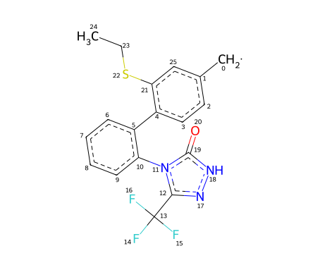 [CH2]c1ccc(-c2ccccc2-n2c(C(F)(F)F)n[nH]c2=O)c(SCC)c1